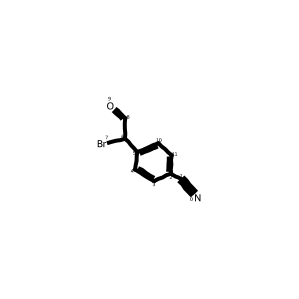 N#Cc1ccc(C(Br)C=O)cc1